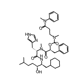 CC(C)CC[C@H](O)[C@H](CC1CCCCC1)NC(=O)[C@H](Cc1c[nH]cn1)N(C)C(=O)[C@H](Cc1ccccc1)OC(=O)N(C)CCC(=O)N(C)c1ccccc1